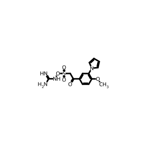 COc1ccc(C(=O)CS(=O)(=O)ONC(=N)N)cc1-n1cccc1